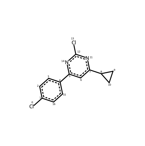 Clc1ccc(-c2cc(C3CC3)nc(Cl)n2)cc1